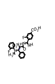 N=C(NC(=O)/C(N)=C(\c1ccccc1)N(N)c1ccccc1F)c1ccc(C(=O)O)cc1F